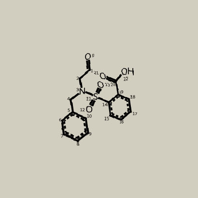 O=CCN(Cc1ccccc1)S(=O)(=O)c1ccccc1C(=O)O